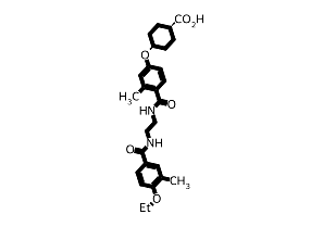 CCOc1ccc(C(=O)NCCNC(=O)c2ccc(O[C@H]3CC[C@@H](C(=O)O)CC3)cc2C)cc1C